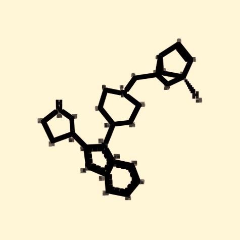 C1=C[C@@H]2CC1C(CN1CCC(n3c(C4CCNC4)nc4ccccc43)CC1)C2